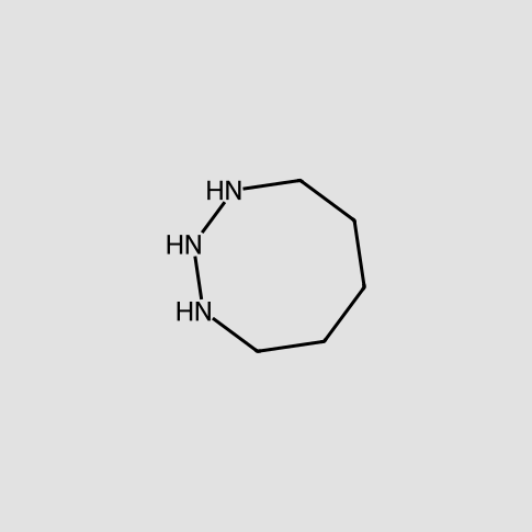 C1CCNNNCC1